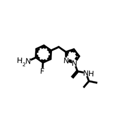 C=C(NC(C)C)n1ccc(Cc2ccc(N)c(F)c2)n1